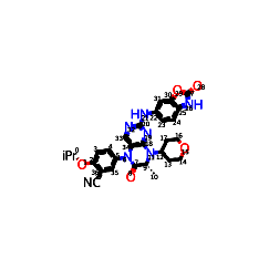 CC(C)Oc1ccc(N2C(=O)[C@@H](C)N(C3CCOCC3)c3nc(Nc4ccc5[nH]c(=O)oc5c4)ncc32)cc1C#N